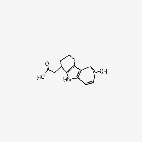 O=C(O)CC1CCCc2c1[nH]c1ccc(O)cc21